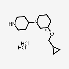 C1C[C@@H](OCC2CC2)CN(C2CCNCC2)C1.Cl.Cl